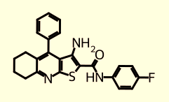 Nc1c(C(=O)Nc2ccc(F)cc2)sc2nc3c(c(-c4ccccc4)c12)CCCC3